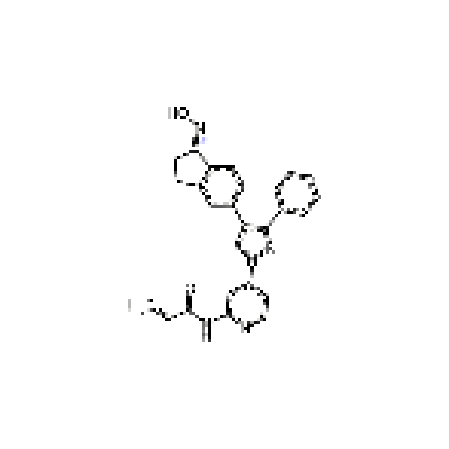 C=CC(=O)Nc1cc(-n2cc(-c3ccc4c(c3)CC/C4=N\O)c(-c3ccncc3)n2)ccn1